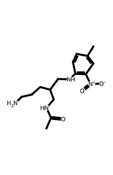 CC(=O)NCC(CCCN)CNc1ccc(C)cc1[N+](=O)[O-]